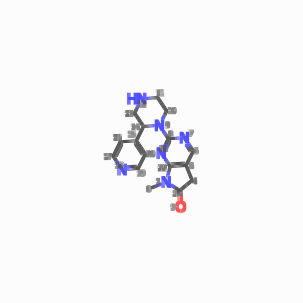 CN1C(=O)Cc2cnc(N3CCNCC3c3ccncc3)nc21